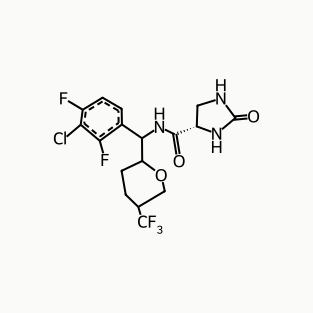 O=C1NC[C@@H](C(=O)NC(c2ccc(F)c(Cl)c2F)C2CCC(C(F)(F)F)CO2)N1